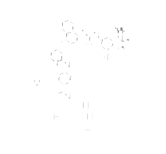 COc1cc(Nc2cc(Oc3ccc(NC(=O)Nc4cc(C(C)(C)C)cc(NS(C)(=O)=O)c4OC)c4ccccc34)ccn2)ccc1C(=O)NCC(O)C(O)C(O)CO